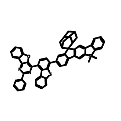 C[Si]1(C)c2ccccc2-c2cc3c(cc21)-c1ccc(-c2ccc(-c4nc(-c5ccccc5)nc5c4oc4ccccc45)c4c2sc2ccccc24)cc1C31C2CC3CC(C2)CC1C3